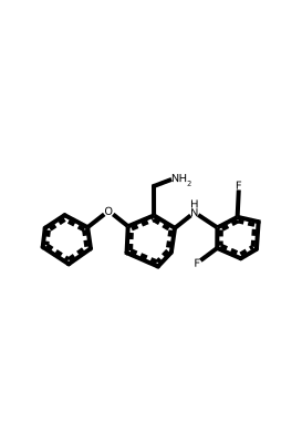 NCc1c(Nc2c(F)cccc2F)cccc1Oc1ccccc1